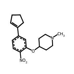 CN1CCC(Oc2cc(C3=CCCC3)ccc2[N+](=O)[O-])CC1